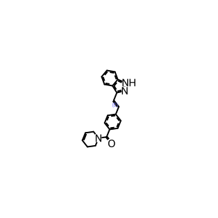 O=C(c1ccc(/C=C/c2n[nH]c3ccccc23)cc1)N1CC=CCC1